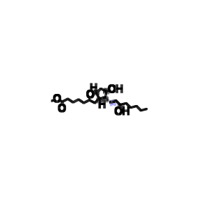 CCCCC[C@H](O)/C=C/[C@@H]1[C@H]2CC(CCCCC(=O)OC)O[C@@H]2C[C@H]1O